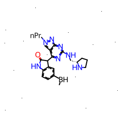 CBc1ccc2c(c1)C(c1nc(NC[C@@H]3CCCN3)nc3nn(CCC)cc13)C(=O)N2